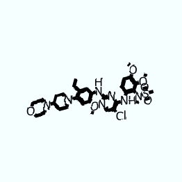 CCc1cc(Nc2ncc(Cl)c(Nc3ccc(OC)c(OC)c3N(C)S(C)(=O)=O)n2)c(OC)cc1N1CCC(N2CCOCC2)CC1